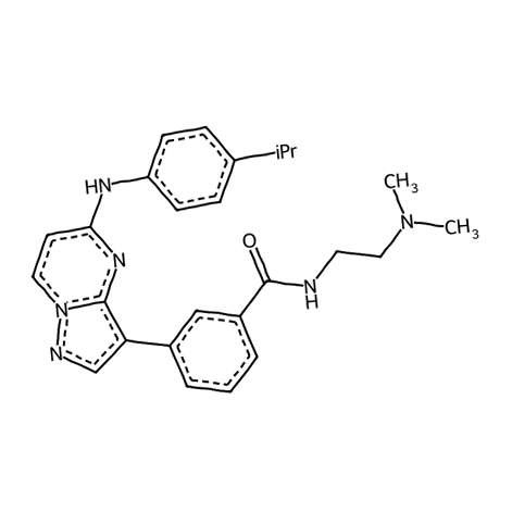 CC(C)c1ccc(Nc2ccn3ncc(-c4cccc(C(=O)NCCN(C)C)c4)c3n2)cc1